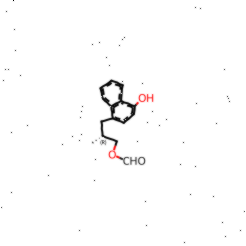 C[C@@H](COC=O)Cc1ccc(O)c2ccccc12